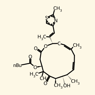 CCCCC(=O)O[C@H]1CC(=O)O[C@H](/C(C)=C/c2csc(C)n2)C/C=C(/C)C/C=C\[C@H](C)[C@H](O)[C@@H](C)C(=O)C1(C)C